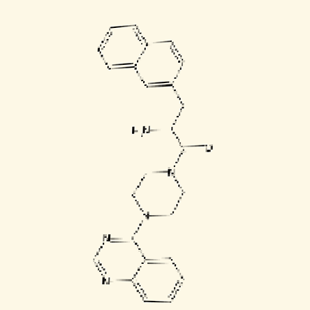 NC(Cc1ccc2ccccc2c1)C(=O)N1CCN(c2ncnc3ccccc23)CC1